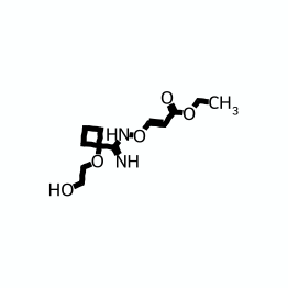 CCOC(=O)/C=C/ONC(=N)C1(OCCO)CCC1